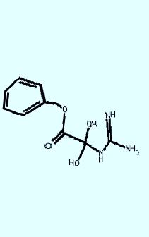 N=C(N)NC(O)(O)C(=O)Oc1ccccc1